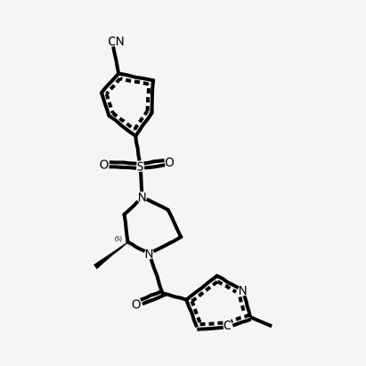 Cc1ccc(C(=O)N2CCN(S(=O)(=O)c3ccc(C#N)cc3)C[C@@H]2C)cn1